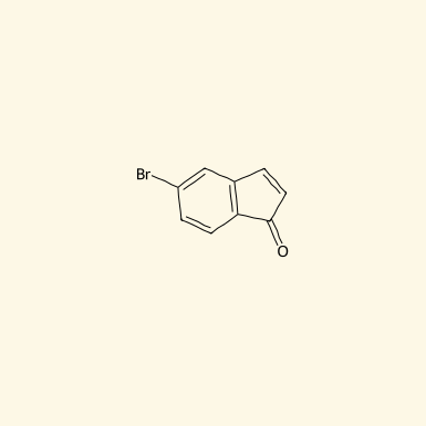 O=C1C=Cc2cc(Br)ccc21